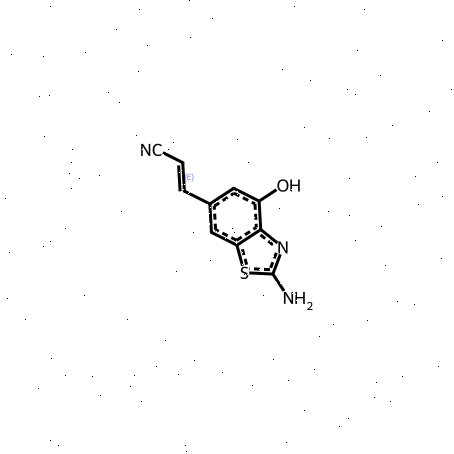 N#C/C=C/c1cc(O)c2nc(N)sc2c1